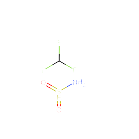 FC(F)F.N[SH](=O)=O